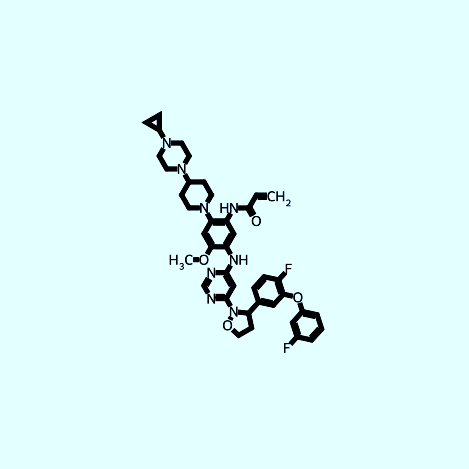 C=CC(=O)Nc1cc(Nc2cc(N3OCCC3c3ccc(F)c(Oc4cccc(F)c4)c3)ncn2)c(OC)cc1N1CCC(N2CCN(C3CC3)CC2)CC1